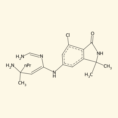 CCCC(C)(N)/C=C(\N=C/N)Nc1cc(Cl)c2c(c1)C(C)(C)NC2=O